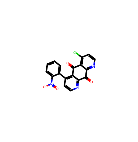 O=C1c2nccc(Cl)c2C(=O)c2c(-c3ccccc3[N+](=O)[O-])ccnc21